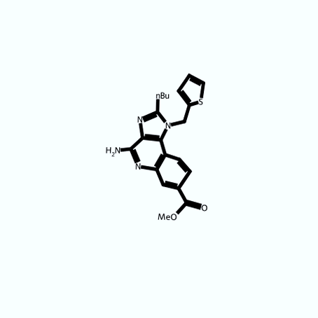 CCCCc1nc2c(N)nc3cc(C(=O)OC)ccc3c2n1Cc1cccs1